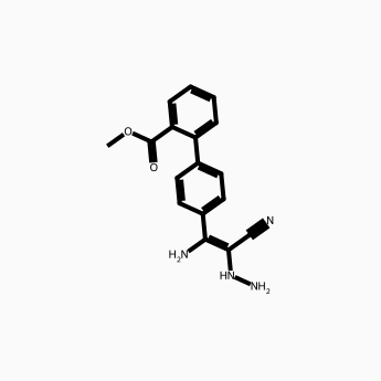 COC(=O)c1ccccc1-c1ccc(/C(N)=C(\C#N)NN)cc1